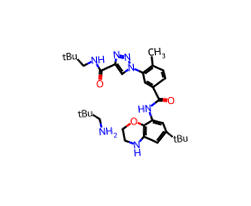 CC(C)(C)CN.Cc1ccc(C(=O)Nc2cc(C(C)(C)C)cc3c2OCCN3)cc1-n1cc(C(=O)NCC(C)(C)C)nn1